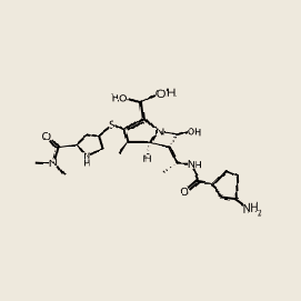 C[C@@H](NC(=O)[C@H]1CCC(N)C1)[C@H]1C(O)N2C(C(O)O)=C(SC3CNC(C(=O)N(C)C)C3)[C@H](C)[C@H]12